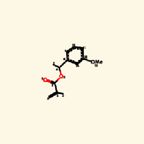 C=C(C)C(=O)OC(C)c1cccc(OC)c1